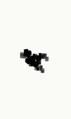 CCC(C)(C)n1cnc2c(N)nc(N)nc21